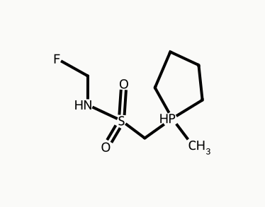 C[PH]1(CS(=O)(=O)NCF)CCCC1